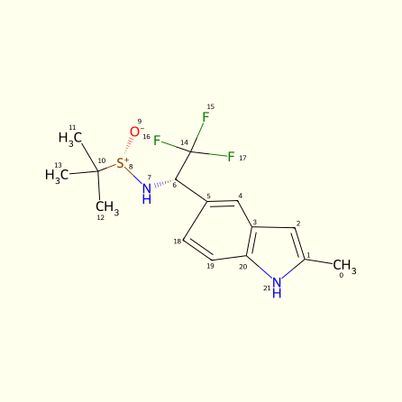 Cc1cc2cc([C@H](N[S@@+]([O-])C(C)(C)C)C(F)(F)F)ccc2[nH]1